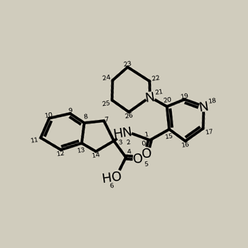 O=C(NC1(C(=O)O)Cc2ccccc2C1)c1ccncc1N1CCCCC1